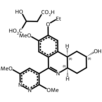 CCOc1cc2c(cc1OC)C(c1cc(OC)nnc1OC)=N[C@@H]1CC[C@@H](O)C[C@H]21.O=C(O)CC(O)C(=O)O